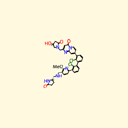 COc1nc(-c2cccc(-c3cccc(-c4ccn5c(=O)cc(CN6C[C@H](O)CC6=O)nc5c4)c3Cl)c2Cl)ccc1CNC[C@@H]1CCC(=O)N1